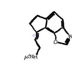 CC(=O)NC/C=C1/CCc2ccc3ncoc3c21